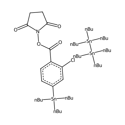 CCC[CH2][Sn]([CH2]CCC)([CH2]CCC)[Sn]([CH2]CCC)([CH2]CCC)[CH2]CCC.CCC[CH2][Sn]([CH2]CCC)([CH2]CCC)[c]1ccc(C(=O)ON2C(=O)CCC2=O)c(Cl)c1